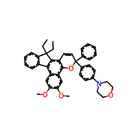 CCC1(CC)c2ccccc2-c2c1c1c(c3cc(OC)c(OC)cc23)OC(c2ccccc2)(c2ccc(N3CCOCC3)cc2)C=C1